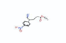 COC(=O)CCC(C#N)c1ccc([N+](=O)[O-])cc1